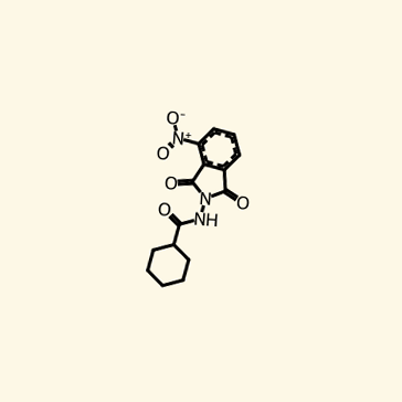 O=C(NN1C(=O)c2cccc([N+](=O)[O-])c2C1=O)C1CCCCC1